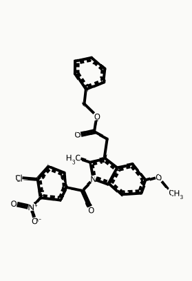 COc1ccc2c(c1)c(CC(=O)OCc1ccccc1)c(C)n2C(=O)c1ccc(Cl)c([N+](=O)[O-])c1